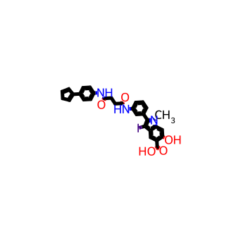 Cn1c(-c2cccc(NC(=O)CCC(=O)Nc3ccc(C4=CCC=C4)cc3)c2)c(I)c2cc(C(=O)O)c(O)cc21